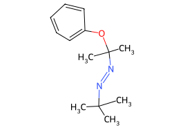 CC(C)(C)N=NC(C)(C)Oc1ccccc1